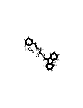 O=C(N[C@H](CO)CC1CCCCC1)OCC1c2ccccc2-c2ccccc21